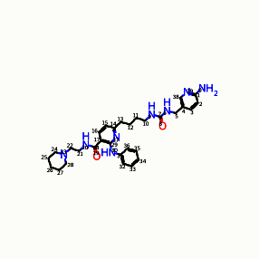 Nc1ccc(CNC(=O)NCCCCc2ccc(C(=O)NCCN3CCCCC3)c(Nc3ccccc3)n2)cn1